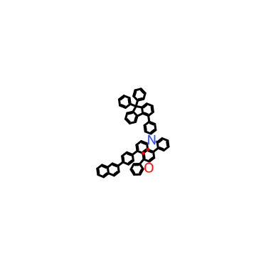 c1ccc(C2(c3ccccc3)c3ccccc3-c3c(-c4ccc(N(c5ccc(-c6ccc(-c7ccc8ccccc8c7)cc6)cc5)c5ccccc5-c5ccc6c(c5)oc5ccccc56)cc4)cccc32)cc1